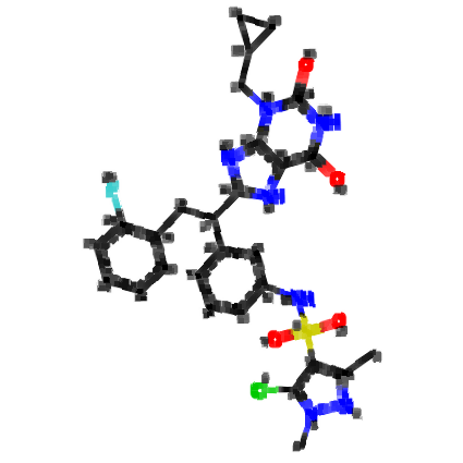 Cc1nn(C)c(Cl)c1S(=O)(=O)Nc1cccc(C(Cc2ccccc2F)c2nc3c([nH]2)c(=O)[nH]c(=O)n3CC2CC2)c1